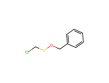 ClCSOCc1ccccc1